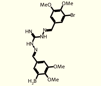 Bc1cc(/C=N/NC(=N)N/N=C/c2cc(Br)c(OC)c(OC)c2)cc(OC)c1OC